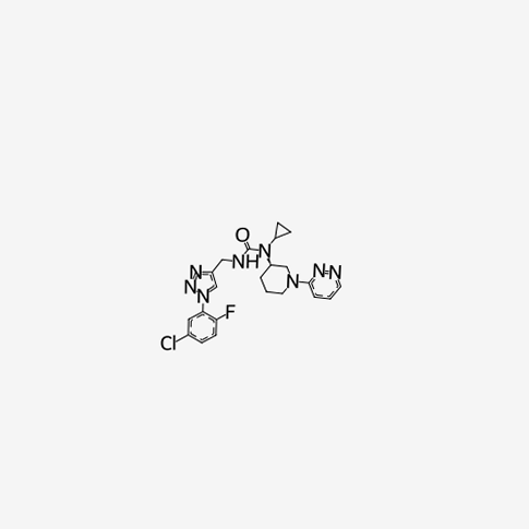 O=C(NCc1cn(-c2cc(Cl)ccc2F)nn1)N(C1CC1)[C@@H]1CCCN(c2cccnn2)C1